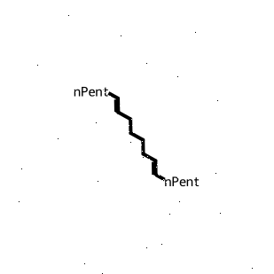 [CH2]CCCCC=CCCCCC=CCCCCC